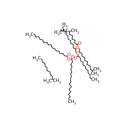 CC(C)CCCCCCCCCCOC(=O)CCCCCC(C)C.CCCCCCCCCCCC(=O)OCCCCCCCCCCC(C)C.CCCCCCCCCCCCCCCCCC(=O)OC(=O)CCCCCCCCCCCCCCCCC.[CH2]CCCCCCCCCC(C)C